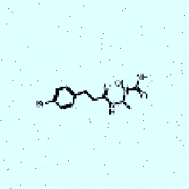 CC(NC(=O)CCc1ccc(Br)cc1)N(O)C(N)=O